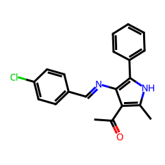 CC(=O)c1c(C)[nH]c(-c2ccccc2)c1N=Cc1ccc(Cl)cc1